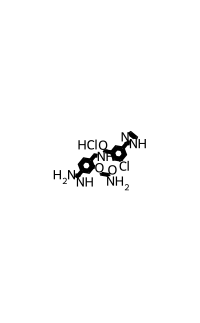 Cl.N=C(N)c1ccc(CNC(=O)c2cc(Cl)cc(-c3ncc[nH]3)c2)c(OCC(N)=O)c1